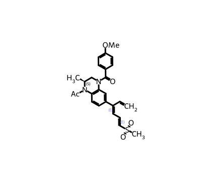 C=C/C(=C\C=C\S(C)(=O)=O)c1ccc2c(c1)N(C(=O)c1ccc(OC)cc1)C[C@H](C)N2C(C)=O